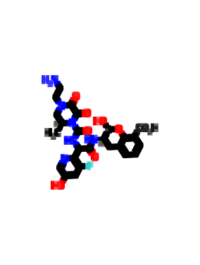 C[C@H]1CN(CCN)C(=O)C(=O)N1C(=O)NC(C(=O)N[C@H]1Cc2cccc(C(=O)O)c2OB1O)c1ncc(O)cc1F